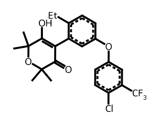 CCc1ccc(Oc2ccc(Cl)c(C(F)(F)F)c2)cc1C1=C(O)C(C)(C)OC(C)(C)C1=O